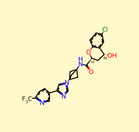 O=C(NC12CC(n3cnc(-c4ccc(C(F)(F)F)nc4)c3)(C1)C2)[C@@H]1C[C@@H](O)c2cc(Cl)ccc2O1